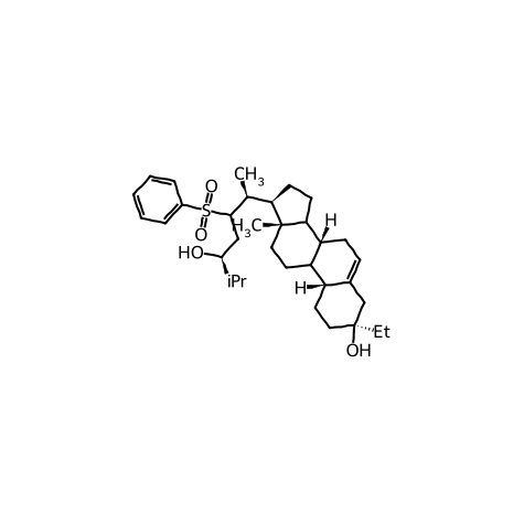 CC[C@]1(O)CC[C@H]2C(=CC[C@@H]3C2CC[C@@]2(C)C3CC[C@@H]2[C@H](C)C(C[C@H](O)C(C)C)S(=O)(=O)c2ccccc2)C1